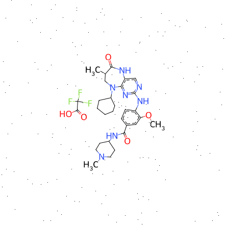 COc1cc(C(=O)NC2CCN(C)CC2)ccc1Nc1ncc2c(n1)N(C1CCCCC1)CC(C)C(=O)N2.O=C(O)C(F)(F)F